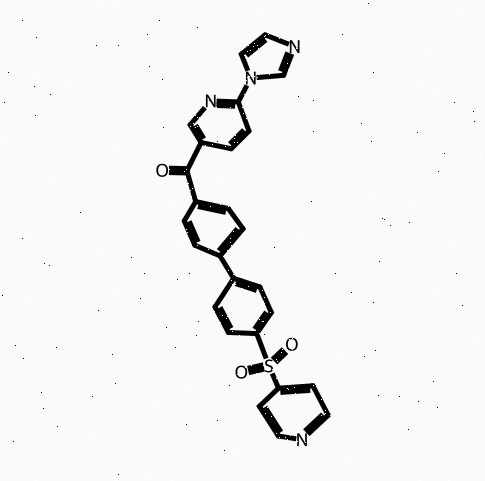 O=C(c1ccc(-c2ccc(S(=O)(=O)c3ccncc3)cc2)cc1)c1ccc(-n2ccnc2)nc1